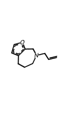 C=CCN1CCCc2ccoc2C1